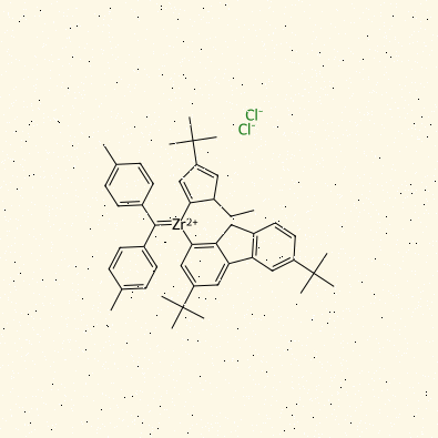 CCC1C=C(C(C)(C)C)C=[C]1[Zr+2](=[C](c1ccc(C)cc1)c1ccc(C)cc1)[c]1cc(C(C)(C)C)cc2c1Cc1ccc(C(C)(C)C)cc1-2.[Cl-].[Cl-]